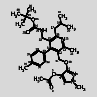 CC(=O)Oc1cn(C)nc1OCc1c(C)nc(CC(C)C)c(CNC(=O)OC(C)(C)C)c1-c1ccc(C)cc1